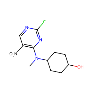 CN(c1nc(Cl)ncc1[N+](=O)[O-])C1CCC(O)CC1